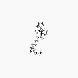 NN/C=C(\N)c1ccccc1NC(=O)CCCCCn1cc(C(=O)O)nn1